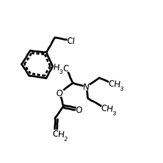 C=CC(=O)OC(C)N(CC)CC.ClCc1ccccc1